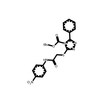 CC(C)(C)OC(=O)n1c(SCC(=O)Nc2ccc([N+](=O)[O-])cc2)nnc1-c1ccccc1